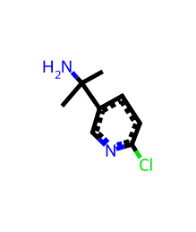 CC(C)(N)c1ccc(Cl)nc1